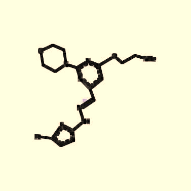 CCc1ccc(N/N=C/c2cc(OCCNC)nc(N3CCOCC3)n2)s1